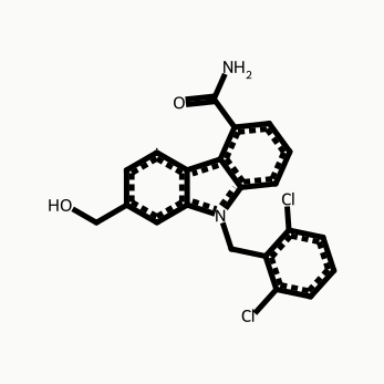 NC(=O)c1cccc2c1c1[c]cc(CO)cc1n2Cc1c(Cl)cccc1Cl